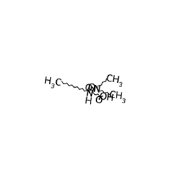 CCCCCCCCCCCC(=O)NC(CCC(=O)O)C(=O)N(CCCCCC)CCCCCC